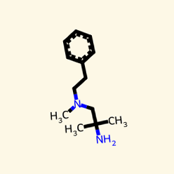 CN(CCc1ccccc1)CC(C)(C)N